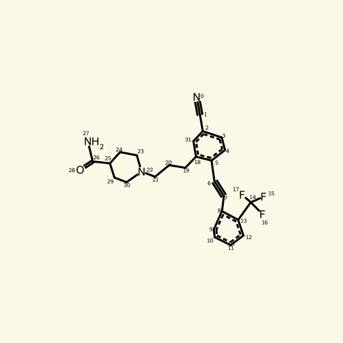 N#Cc1ccc(C#Cc2cc[c]cc2C(F)(F)F)c(CCCN2CCC(C(N)=O)CC2)c1